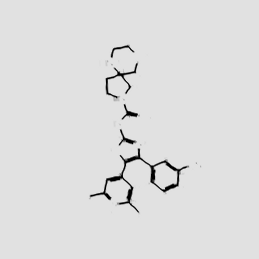 Cc1cc(-c2sc(NC(=O)N3CCC4(COCCN4)C3)nc2-c2cccc(C#N)c2)cc(C)n1